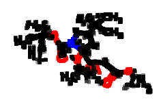 COC(=O)CC(O)[C@@]1(O[SiH](C)C)C[C@H](C(C)(C)C)CN1C(=O)OC(C)(C)C